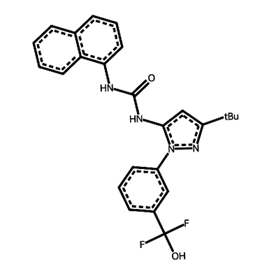 CC(C)(C)c1cc(NC(=O)Nc2cccc3ccccc23)n(-c2cccc(C(O)(F)F)c2)n1